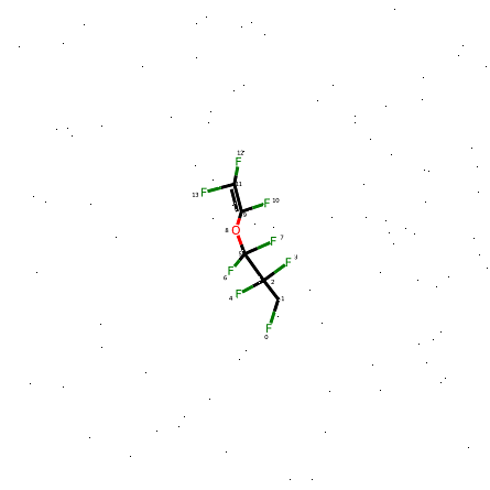 FCC(F)(F)C(F)(F)OC(F)=C(F)F